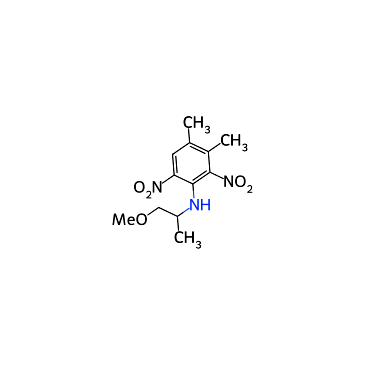 COCC(C)Nc1c([N+](=O)[O-])cc(C)c(C)c1[N+](=O)[O-]